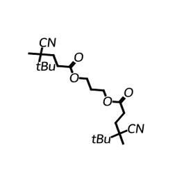 CC(C)(C)C(C)(C#N)CCC(=O)OCCCOC(=O)CCC(C)(C#N)C(C)(C)C